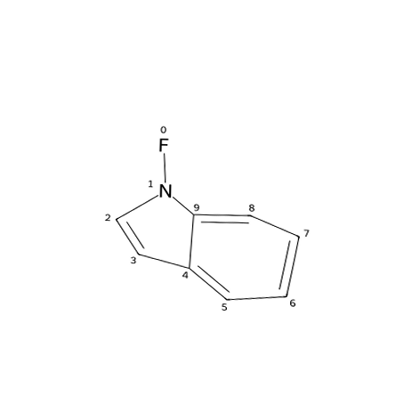 Fn1ccc2ccccc21